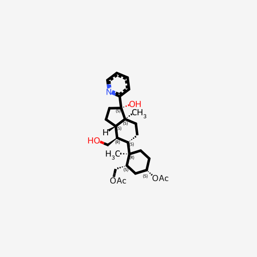 CC(=O)OC[C@H]1C[C@@H](OC(C)=O)CC[C@]1(C)[C@H]1CC[C@@]2(C)[C@@H](CC[C@@]2(O)c2ccccn2)[C@@H]1CO